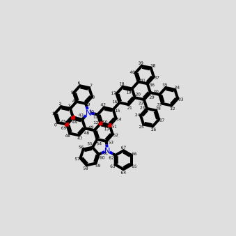 c1ccc(-c2ccccc2N(c2cccc(-c3ccc4c(c3)c(-c3ccccc3)c(-c3ccccc3)c3ccccc34)c2)c2ccccc2-c2cccc3c2c2ccccc2n3-c2ccccc2)cc1